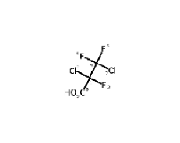 O=C(O)C(F)(Cl)C(F)(F)Cl